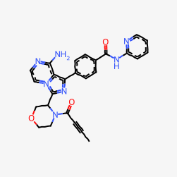 CC#CC(=O)N1CCOCC1c1nc(-c2ccc(C(=O)Nc3ccccn3)cc2)c2c(N)nccn12